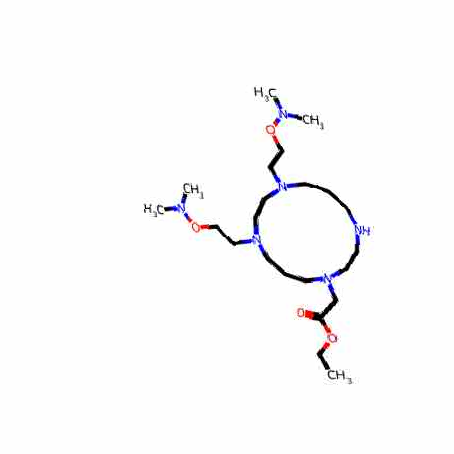 CCOC(=O)CN1CCCN(CCON(C)C)CCN(CCON(C)C)CCCNCC1